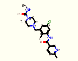 Cc1ccc(C(=O)Nc2cc(Cl)cc(CN3CCN(C(=O)NC(C)C)[C@@H](C)C3)c2C)cn1